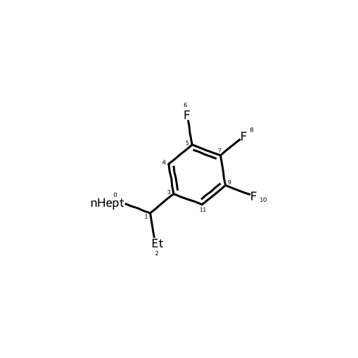 CCCCCCCC(CC)c1cc(F)c(F)c(F)c1